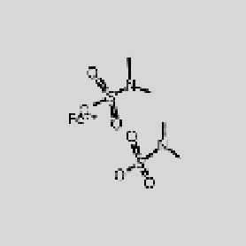 CN(C)S(=O)(=O)[O-].CN(C)S(=O)(=O)[O-].[Fe+2]